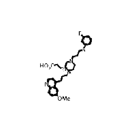 COc1ccc2nccc(CCC[C@@H]3CCN(CCCSc4cccc(F)c4)C[C@@H]3CCC(=O)O)c2c1